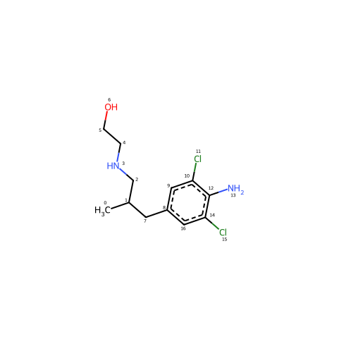 CC(CNCCO)Cc1cc(Cl)c(N)c(Cl)c1